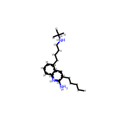 CCCCCc1cc2c(CCCCNC(C)(C)C)cccc2nc1N